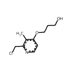 Cc1c(OCCCO)ccnc1CCl